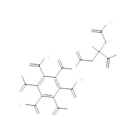 O=C(O)CC(O)(CC(=O)OC(=O)c1c(C(=O)O)c(C(=O)O)c(C(=O)O)c(C(=O)O)c1C(=O)O)C(=O)O